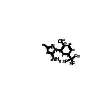 Cc1cc(N)n(-c2cc(C(F)(F)F)ccc2Cl)n1